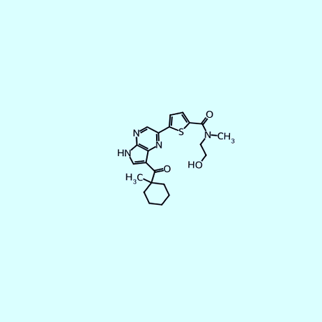 CN(CCO)C(=O)c1ccc(-c2cnc3[nH]cc(C(=O)C4(C)CCCCC4)c3n2)s1